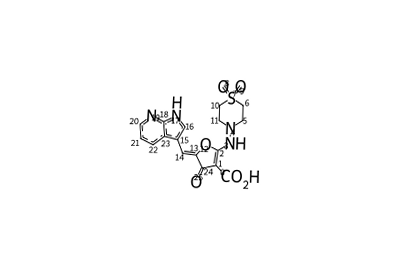 O=C(O)C1=C(NN2CCS(=O)(=O)CC2)OC(=Cc2c[nH]c3ncccc23)C1=O